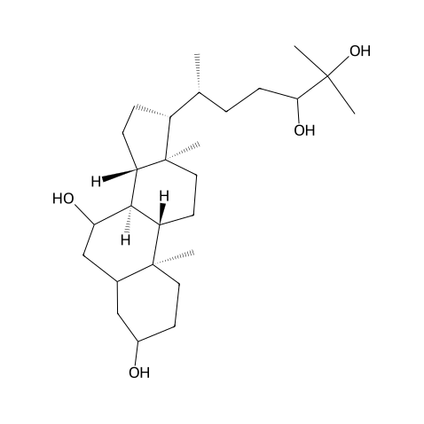 C[C@H](CCC(O)C(C)(C)O)[C@H]1CC[C@H]2[C@@H]3C(O)CC4CC(O)CC[C@]4(C)[C@H]3CC[C@]12C